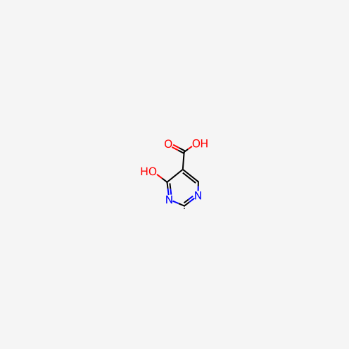 O=C(O)c1cn[c]nc1O